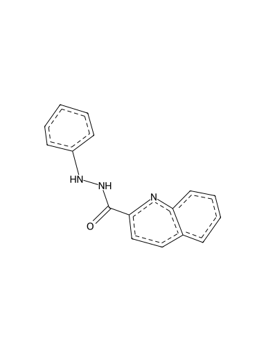 O=C(NNc1ccccc1)c1ccc2ccccc2n1